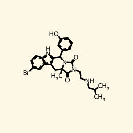 CC(C)CNCCN1C(=O)N2C(c3cccc(O)c3)c3[nH]c4ccc(Br)cc4c3CC2(C)C1=O